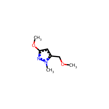 COCc1cc(OC)nn1C